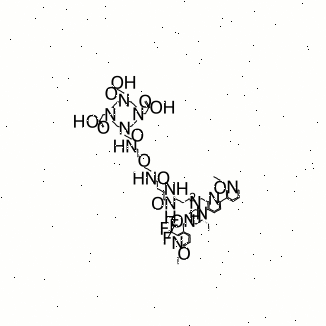 CCOc1ccc(C(=O)N2CCN(c3ccc(-c4cccnc4OCC)nc3CNCCCNC(=O)[C@@H](N)CC(=O)NCCOCCNC(=O)CN3CCN(CC(=O)O)CCN(CC(=O)O)CCN(CC(=O)O)CC3)[C@H](CC)C2)c(C(F)(F)F)n1